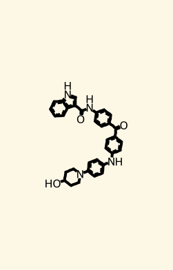 O=C(c1ccc(NC(=O)c2c[nH]c3ccccc23)cc1)c1ccc(Nc2ccc(N3CCC(O)CC3)cc2)cc1